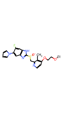 CCOCCOc1ccnc(C[S+]([O-])c2nc3cc(-n4cccc4)c(F)cc3[nH]2)c1C